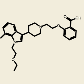 CCOCCn1cc(C2CCN(CCOc3ccccc3C(=O)O)CC2)c2cccc(C)c21